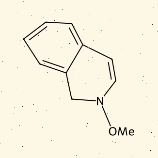 CON1C=Cc2ccccc2C1